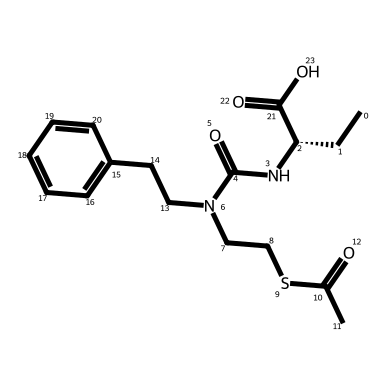 CC[C@H](NC(=O)N(CCSC(C)=O)CCc1ccccc1)C(=O)O